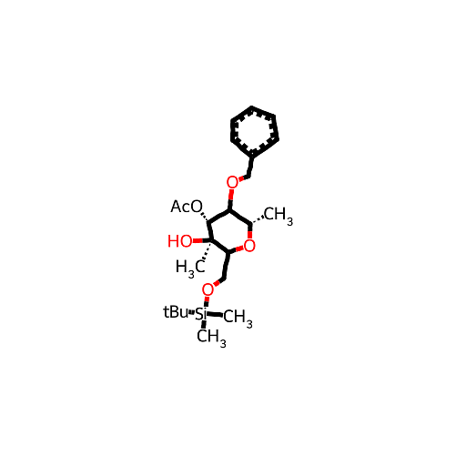 CC(=O)O[C@@H]1C(OCc2ccccc2)[C@H](C)OC(CO[Si](C)(C)C(C)(C)C)[C@@]1(C)O